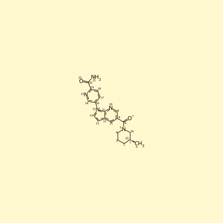 C[C@H]1CCCN(C(=O)c2cnc3c(ccn3-c3ccc(C(N)=O)nc3)c2)C1